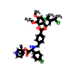 C=C(Cl)/C(C[C@H](OC(=O)c1ccc(CNC(C(=O)O[C@H]2CN3CCC2CC3)c2ccc(F)cc2)cc1)c1ccc(OC)c(OC)c1)=C(\C)Cl